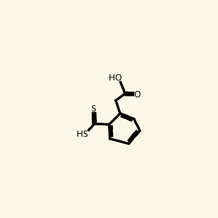 O=C(O)Cc1ccccc1C(=S)S